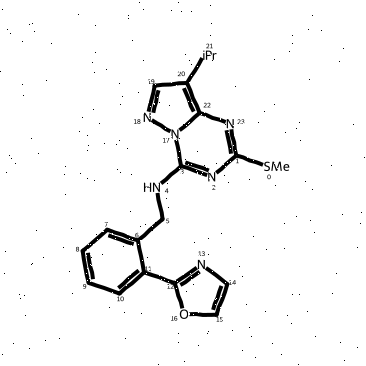 CSc1nc(NCc2ccccc2-c2ncco2)n2ncc(C(C)C)c2n1